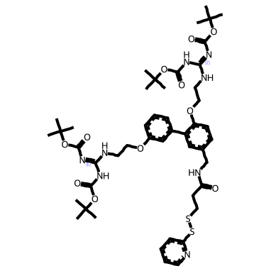 CC(C)(C)OC(=O)/N=C(/NCCOc1ccc(CNC(=O)CCSSc2ccccn2)cc1-c1cccc(OCCN/C(=N\C(=O)OC(C)(C)C)NC(=O)OC(C)(C)C)c1)NC(=O)OC(C)(C)C